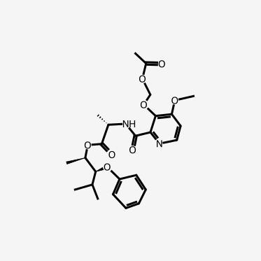 COc1ccnc(C(=O)N[C@@H](C)C(=O)O[C@H](C)[C@@H](Oc2ccccc2)C(C)C)c1OCOC(C)=O